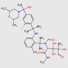 BC(B)(Nc1cccc(C)c1C(B)(B)N(C=O)C(C(=O)NC)C(O)(O)C(B)(O)C=O)c1ccc(C(B)(O)N2CC(C)OC(C)C2)cc1F